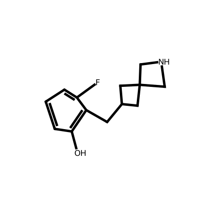 Oc1cccc(F)c1CC1CC2(CNC2)C1